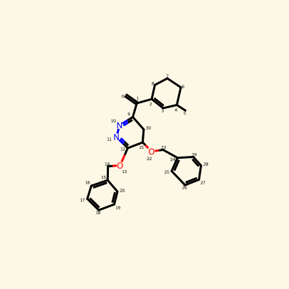 C=C(C1=CC(C)CCC1)C1=NN=C(OCc2ccccc2)C(OCc2ccccc2)C1